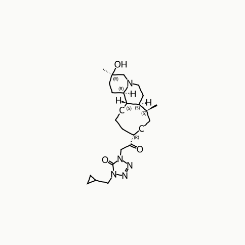 C[C@H]1CC[C@H](C(=O)Cn2nnn(CC3CC3)c2=O)CCC[C@H]2[C@H]1CCN1C[C@](C)(O)CC[C@H]21